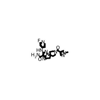 Cn1cc(C(=O)N2CCC(CC#N)(n3cc(C(N)=O)c(Nc4ccnc(F)c4)n3)CC2)cn1